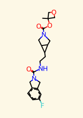 CC1(OC(=O)N2CC3C(CCNC(=O)N4Cc5ccc(F)cc5C4)C3C2)COC1